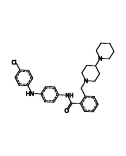 O=C(Nc1ccc(Nc2ccc(Cl)cc2)cc1)c1ccccc1CN1CCC(N2CCCCC2)CC1